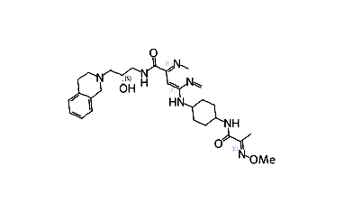 C=N/C(=C\C(=N/C)C(=O)NC[C@H](O)CN1CCc2ccccc2C1)NC1CCC(NC(=O)/C(C)=N/OC)CC1